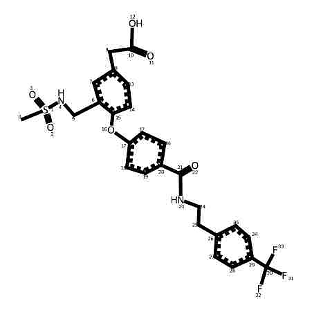 CS(=O)(=O)NCc1cc(CC(=O)O)ccc1Oc1ccc(C(=O)NCCc2ccc(C(F)(F)F)cc2)cc1